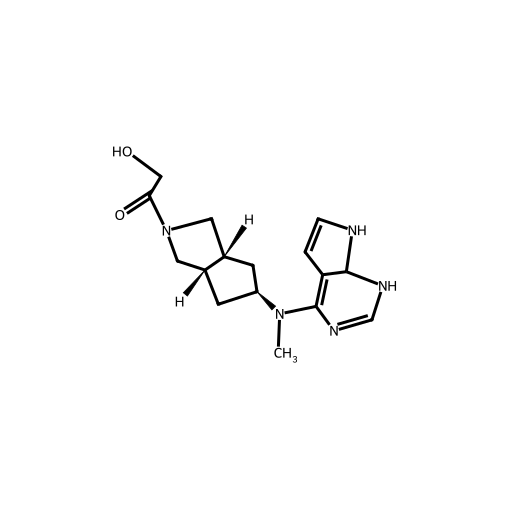 CN(C1=C2C=CNC2NC=N1)[C@H]1C[C@@H]2CN(C(=O)CO)C[C@@H]2C1